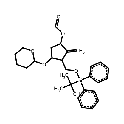 C=C1C(OC=O)CC(OC2CCCCO2)C1CO[Si](c1ccccc1)(c1ccccc1)C(C)(C)C